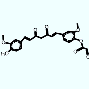 COc1cc(C=CC(=O)CC(=O)C=Cc2ccc(OC(=O)C=O)c(OC)c2)ccc1O